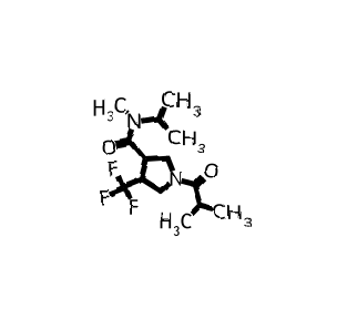 CC(C)C(=O)N1CC(C(=O)N(C)C(C)C)C(C(F)(F)F)C1